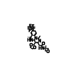 Cc1nc(CC(=O)NC2(C)COC2)c(C2OCCO2)c(N[C@H](C)c2cccc(S(F)(F)(F)(F)F)c2)n1